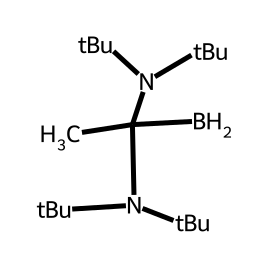 BC(C)(N(C(C)(C)C)C(C)(C)C)N(C(C)(C)C)C(C)(C)C